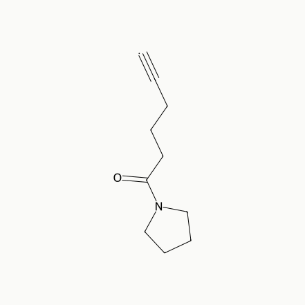 [C]#CCCCC(=O)N1CCCC1